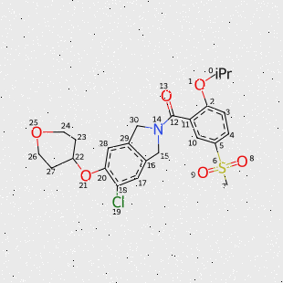 CC(C)Oc1ccc(S(C)(=O)=O)cc1C(=O)N1Cc2cc(Cl)c(OC3CCOCC3)cc2C1